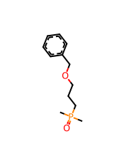 CP(C)(=O)CCCOCc1ccccc1